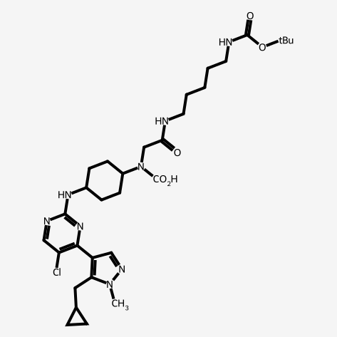 Cn1ncc(-c2nc(NC3CCC(N(CC(=O)NCCCCCNC(=O)OC(C)(C)C)C(=O)O)CC3)ncc2Cl)c1CC1CC1